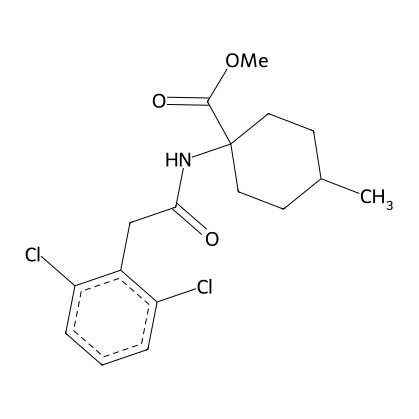 COC(=O)C1(NC(=O)Cc2c(Cl)cccc2Cl)CCC(C)CC1